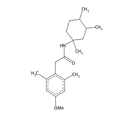 COc1cc(C)c(CC(=O)NC2(C)CCC(C)C(C)C2)c(C)c1